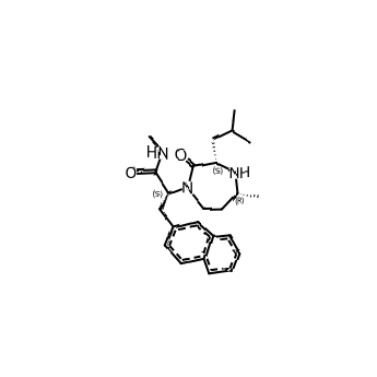 CNC(=O)[C@H](Cc1ccc2ccccc2c1)N1CC[C@@H](C)N[C@@H](CC(C)C)C1=O